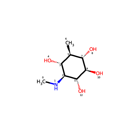 CN[C@H]1[C@H](O)[C@@H](C)[C@H](O)[C@@H](O)[C@@H]1O